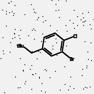 CC(C)(C)Cc1ccc(Cl)c(Br)c1